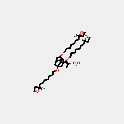 CCC1(CCCCCCCOC(=C(C)C(=O)O)C23CC4CC(OCCCCCCCC5(CC)CCO5)(CC(OCCCCCCCC5(CC)CCO5)(C4)C2)C3)CCO1